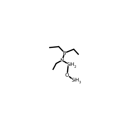 CCB(CC)N(CC)[SiH2]O[SiH3]